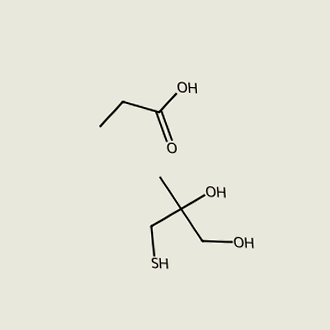 CC(O)(CO)CS.CCC(=O)O